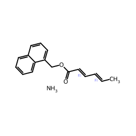 C/C=C/C=C/C(=O)OCc1cccc2ccccc12.N